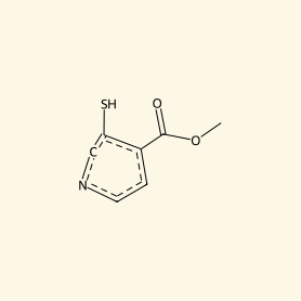 COC(=O)c1ccncc1S